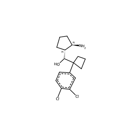 N[C@@H]1CCC[C@H]1C(O)C1(c2ccc(Cl)c(Cl)c2)CCC1